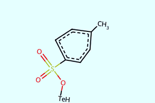 Cc1ccc(S(=O)(=O)O[TeH])cc1